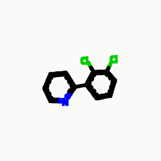 Clc1cccc(-c2ccccn2)c1Cl